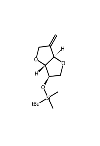 C=C1CO[C@@H]2[C@@H]1OC[C@H]2O[Si](C)(C)C(C)(C)C